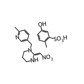 Cc1ccc(CN2CCCNC2=C[N+](=O)[O-])cn1.Cc1ccc(O)cc1S(=O)(=O)O